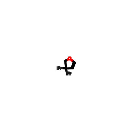 CC(C)C1(C(C)C)C=COC1